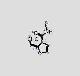 O=C/C=C1/SC=CN1C(=O)NF